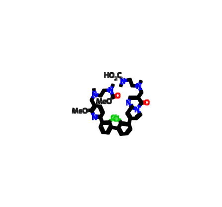 COC(=O)N(C)CCN(C)Cc1ccc(-c2cccc(-c3cccc(-c4ccn5c(=O)c(CN(C)CCN(C)C(=O)O)cnc5c4)c3Cl)c2Cl)nc1OC